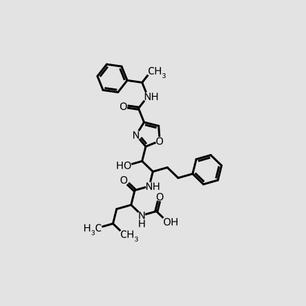 CC(C)CC(NC(=O)O)C(=O)NC(CCc1ccccc1)C(O)c1nc(C(=O)NC(C)c2ccccc2)co1